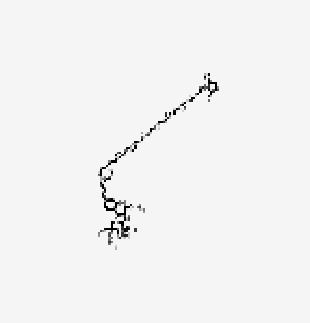 CCCCc1nc2c(N)nc3cc(CCCN4CCN(CCOCCOCCOCCOCCOCCOCCOCCN5C(=O)C=CC5=O)CC4)ccc3c2n1CC(C)(CO)CO